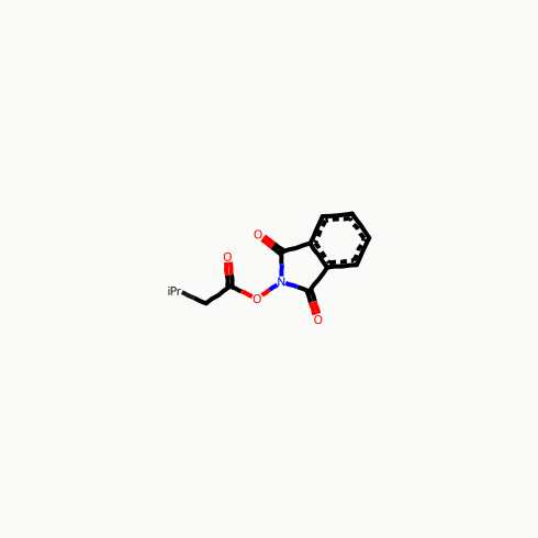 CC(C)CC(=O)ON1C(=O)c2ccccc2C1=O